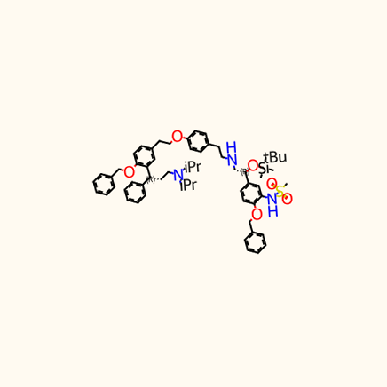 CC(C)N(CC[C@H](c1ccccc1)c1cc(CCOc2ccc(CCNC[C@H](O[Si](C)(C)C(C)(C)C)c3ccc(OCc4ccccc4)c(NS(C)(=O)=O)c3)cc2)ccc1OCc1ccccc1)C(C)C